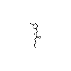 CCCCC(=O)OCC1CCN(C)C1